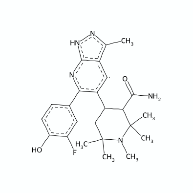 Cc1n[nH]c2nc(-c3ccc(O)c(F)c3)c(C3CC(C)(C)N(C)C(C)(C)C3C(N)=O)[c]c12